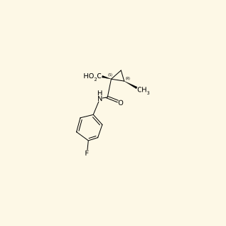 C[C@@H]1C[C@@]1(C(=O)O)C(=O)Nc1ccc(F)cc1